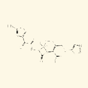 Nc1nc(C(=O)C(=O)NC2C(=O)N3C(C(=O)O)=C(CSc4cnns4)CS[C@@H]23)cs1